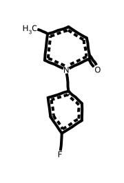 Cc1ccc(=O)n(-c2ccc(F)cc2)c1